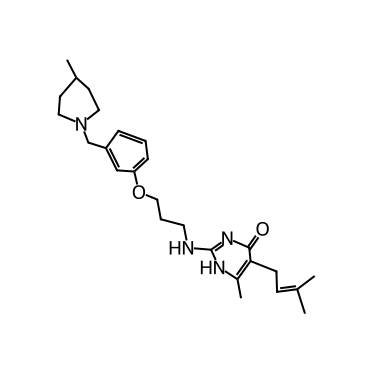 CC(C)=CCc1c(C)[nH]c(NCCCOc2cccc(CN3CCC(C)CC3)c2)nc1=O